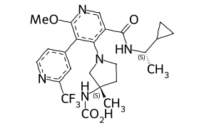 COc1ncc(C(=O)N[C@@H](C)C2CC2)c(N2CC[C@](C)(NC(=O)O)C2)c1-c1ccnc(C(F)(F)F)c1